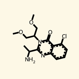 COCC(COC)n1c(C(C)N)nc2cccc(Cl)c2c1=O